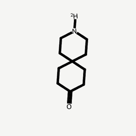 [2H]N1CCC2(CCC(=O)CC2)CC1